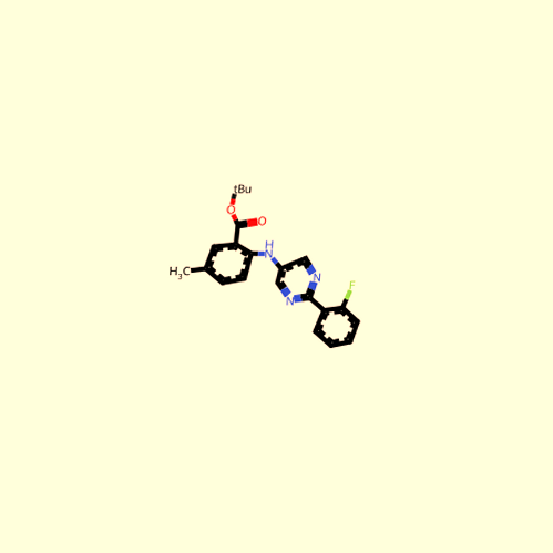 Cc1ccc(Nc2cnc(-c3ccccc3F)nc2)c(C(=O)OC(C)(C)C)c1